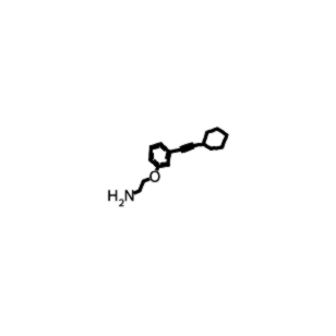 NCCOc1cccc(C#CC2CCCCC2)c1